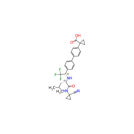 CC(C)C[C@H](N[C@@H](c1ccc(-c2ccc(C3(C(=O)O)CC3)cc2)cc1)C(F)(F)F)C(=O)NC1(C#N)CC1